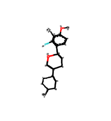 CCCC1CCC(C2CCC(c3ccc(OCC)c(C(F)(F)F)c3F)OC2)CC1